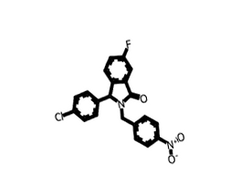 O=C1c2cc(F)ccc2C(c2ccc(Cl)cc2)N1Cc1ccc([N+](=O)[O-])cc1